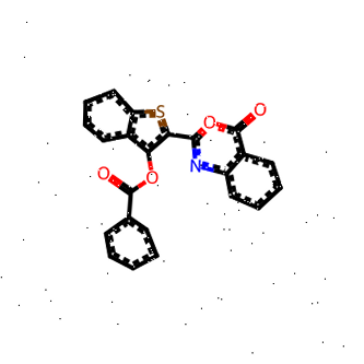 O=C(Oc1c(-c2nc3ccccc3c(=O)o2)sc2ccccc12)c1ccccc1